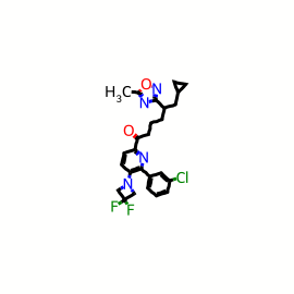 Cc1nc(C(CCCC(=O)c2ccc(N3CC(F)(F)C3)c(-c3cccc(Cl)c3)n2)CC2CC2)no1